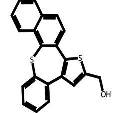 OCc1cc2c(s1)-c1ccc3ccccc3c1Sc1ccccc1-2